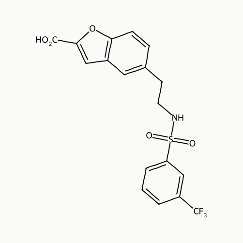 O=C(O)c1cc2cc(CCNS(=O)(=O)c3cccc(C(F)(F)F)c3)ccc2o1